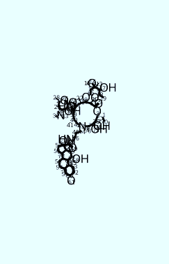 CC[C@H]1OC(=O)[C@H](C)[C@@H](O[C@@H]2C[C@](C)(OC)[C@H](O)C(C)O2)[C@H](C)C(O[C@@H]2O[C@H](C)C[C@@H](N(C)C)[C@H]2O)[C@](C)(O)C[C@@H](C)CN(CCCNC(=O)[C@@]2(O)CCC3C4CCC5=CC(=O)C=C[C@]5(C)C4[C@@H](O)C[C@@]32C)[C@H](C)[C@@H](O)[C@]1(C)O